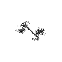 Cc1ncsc1-c1ccc(CNC(=O)[C@@H]2C[C@@H](O)CN2C(=O)[C@@H](NC(=O)C2(F)CC2)C(C)(C)C)c(OCCOCCOCCOCCNC(=O)O[C@H]2C[C@@H](C)C=C3C=C[C@H](C)[C@H](CC[C@@H]4C[C@@H](O[Si](C)(C)C(C)(C)C)CC(=O)O4)[C@H]32)c1